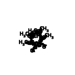 CCOCC(COc1c(CC2CO2)ccc2c(OCC3CO3)c(CC(COCC)OCCC[Si](OCC)(OCC)OCC)ccc12)OCCC[Si](OCC)(OCC)OCC